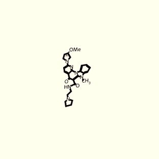 CO[C@@H]1CCN(c2ccc3c(=O)c(C(=O)NCCN4CCCC4)c4n(C)c5ccccc5n4c3n2)C1